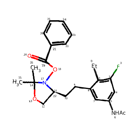 CCc1c(F)cc(NC(C)=O)cc1CC[C@H]1COC(C)(C)N1OC(=O)c1ccccc1